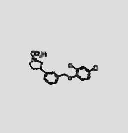 O=C(O)N1CCC(c2cccc(COc3ccc(Cl)cc3Cl)c2)C1